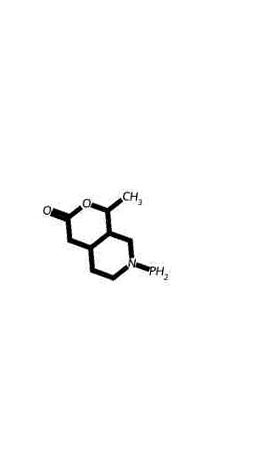 CC1OC(=O)CC2CCN(P)CC21